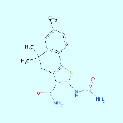 Cc1ccc2c(c1)C(C)(C)Cc1c-2sc(NC(N)=O)c1C(N)=O